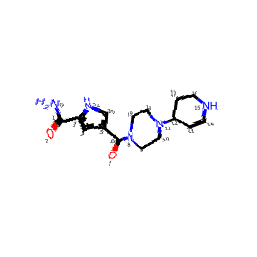 NC(=O)c1cc(C(=O)N2CCN(C3CCNCC3)CC2)c[nH]1